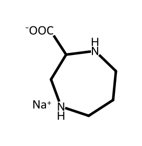 O=C([O-])C1CNCCCN1.[Na+]